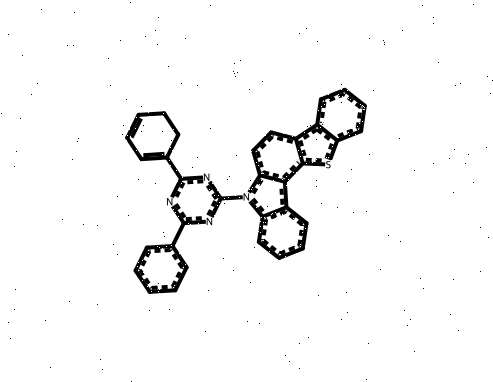 C1=CCCC(c2nc(-c3ccccc3)nc(-n3c4ccccc4c4c5sc6ccccc6c5ccc43)n2)=C1